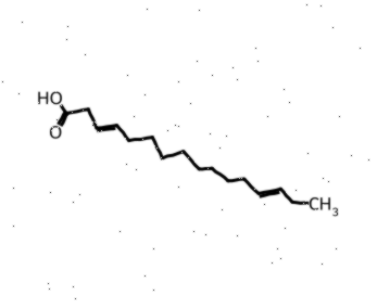 CCC=CCCCCCCCCC=CCC(=O)O